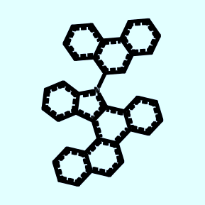 c1ccc2c(c1)cc(-n1c3ccccc3c3c4c5ccccc5ccc4c4ccccc4c31)c1ccccc12